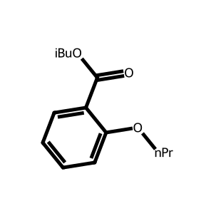 CCCOc1ccccc1C(=O)OCC(C)C